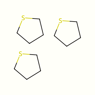 C1CCSC1.C1CCSC1.C1CCSC1